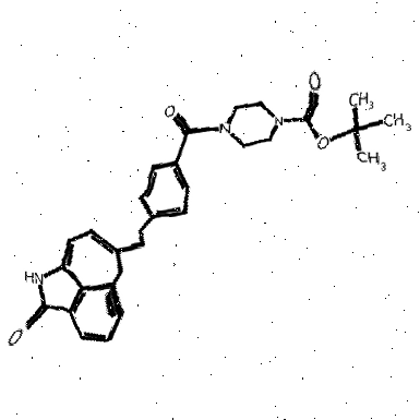 CC(C)(C)OC(=O)N1CCN(C(=O)c2ccc(Cc3ccc4c5c(cccc35)C(=O)N4)cc2)CC1